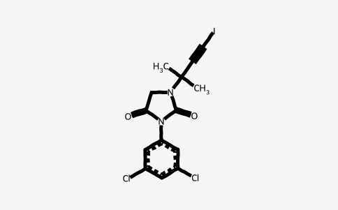 CC(C)(C#CI)N1CC(=O)N(c2cc(Cl)cc(Cl)c2)C1=O